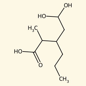 CCCC(CC(O)O)C(C)C(=O)O